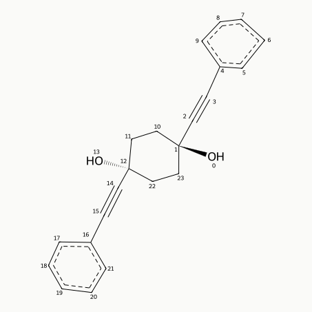 O[C@]1(C#Cc2ccccc2)CC[C@](O)(C#Cc2ccccc2)CC1